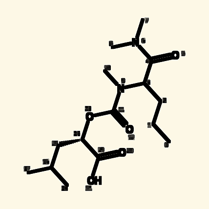 CCCC(C(=O)N(C)C)N(C)C(=O)O[C@@H](CC(C)C)C(=O)O